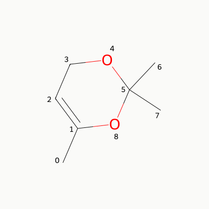 CC1=CCOC(C)(C)O1